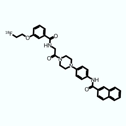 O=C(NCC(=O)N1CCN(c2ccc(NC(=O)c3ccc4ccccc4c3)cc2)CC1)c1cccc(OCC[18F])c1